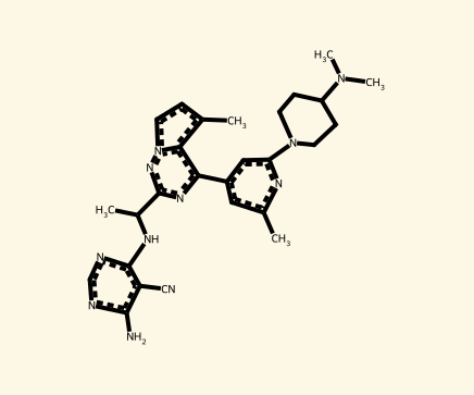 Cc1cc(-c2nc(C(C)Nc3ncnc(N)c3C#N)nn3ccc(C)c23)cc(N2CCC(N(C)C)CC2)n1